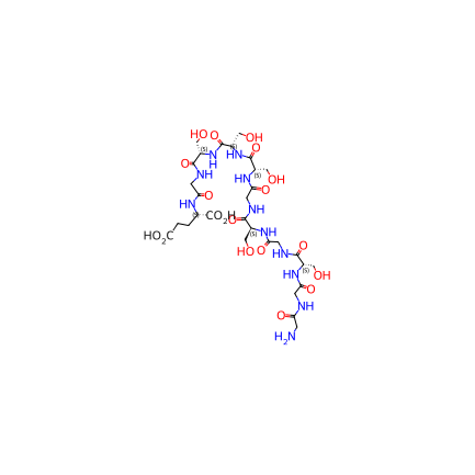 NCC(=O)NCC(=O)N[C@@H](CO)C(=O)NCC(=O)N[C@@H](CO)C(=O)NCC(=O)N[C@@H](CO)C(=O)N[C@@H](CO)C(=O)N[C@@H](CO)C(=O)NCC(=O)N[C@@H](CCC(=O)O)C(=O)O